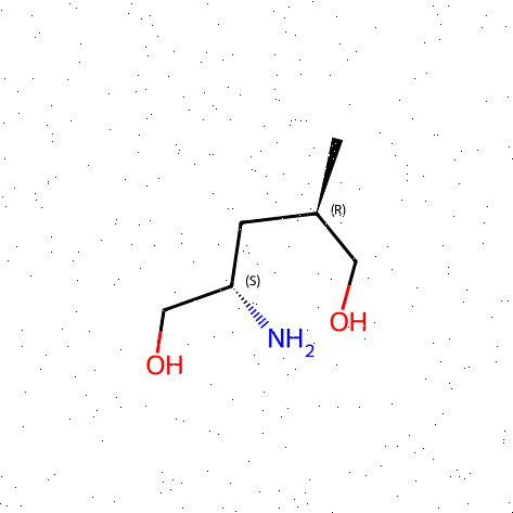 C[C@@H](CO)C[C@H](N)CO